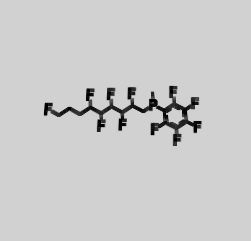 CP(CC(F)C(F)C(F)C(F)C(F)CCCF)c1c(F)c(F)c(F)c(F)c1F